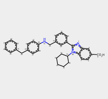 O=C(O)c1ccc2c(c1)nc(-c1cccc(CNc3ccc(Cc4ccccc4)cc3)c1)n2C1CCCCC1